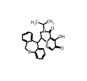 CC(C)N1CC(C2c3ccccc3CSc3ccccc32)n2ncc(=O)c(O)c2C1=O